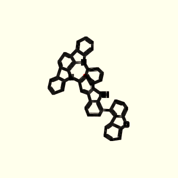 c1ccc(-n2c3ccccc3c3ccc4c5ccccc5n(-c5ccc6[nH]c7c(-c8cccc9oc%10ccccc%10c89)cccc7c6c5)c4c32)cc1